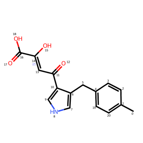 Cc1ccc(Cc2c[nH]cc2C(=O)/C=C(\O)C(=O)O)cc1